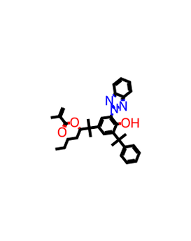 C=C(C)C(=O)OC(CCCC)C(C)(C)c1cc(-n2nc3ccccc3n2)c(O)c(C(C)(C)c2ccccc2)c1